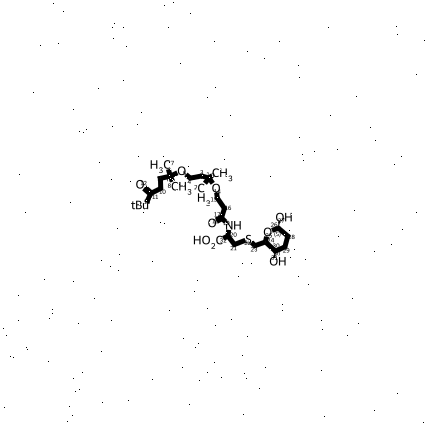 CC(C)(CCOC(C)(C)CCC(=O)C(C)(C)C)OCCC(=O)NC(CSCC1O[C@H](O)CC[C@@H]1O)C(=O)O